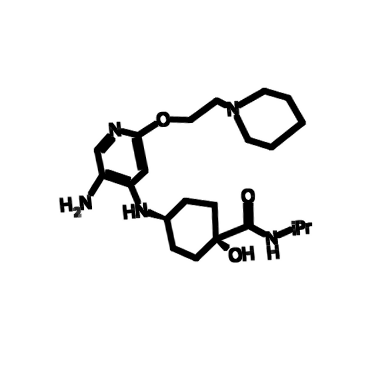 CC(C)NC(=O)[C@]1(O)CC[C@@H](Nc2cc(OCCN3CCCCC3)ncc2N)CC1